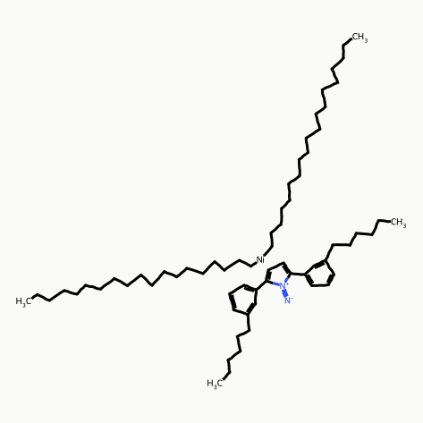 CCCCCCCCCCCCCCCCCC[CH2][Ni][CH2]CCCCCCCCCCCCCCCCCC.CCCCCCc1cccc(C2=CC=C(c3cccc(CCCCCC)c3)[N+]2=[N-])c1